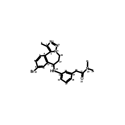 Cc1nnn2c1-c1ccc(Br)cc1C(Nc1cccc(CC(=O)N(C)C)c1)CC2